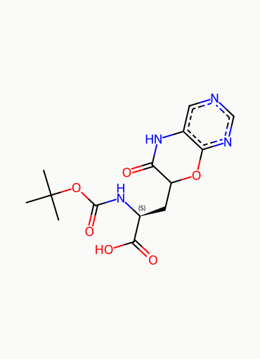 CC(C)(C)OC(=O)N[C@@H](CC1Oc2ncncc2NC1=O)C(=O)O